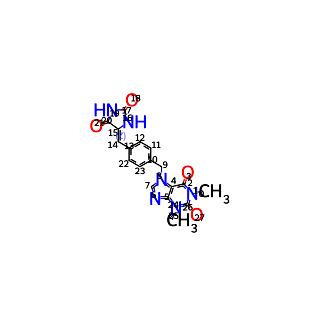 Cn1c(=O)c2c(ncn2Cc2ccc(/C=C3\NC(=O)NC3=O)cc2)n(C)c1=O